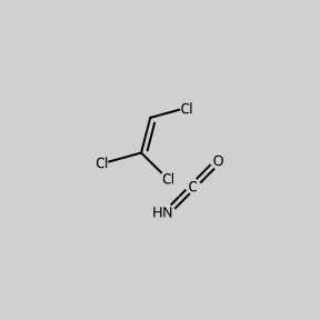 ClC=C(Cl)Cl.N=C=O